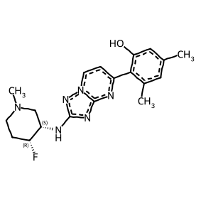 Cc1cc(C)c(-c2ccn3nc(N[C@H]4CN(C)CC[C@H]4F)nc3n2)c(O)c1